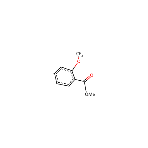 COC(=O)c1cc[c]cc1OC(F)(F)F